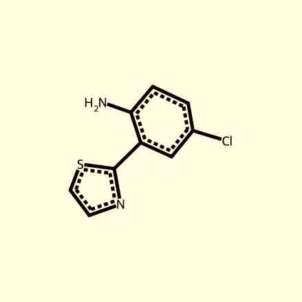 Nc1ccc(Cl)cc1-c1nccs1